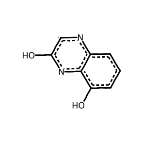 Oc1[c]nc2cccc(O)c2n1